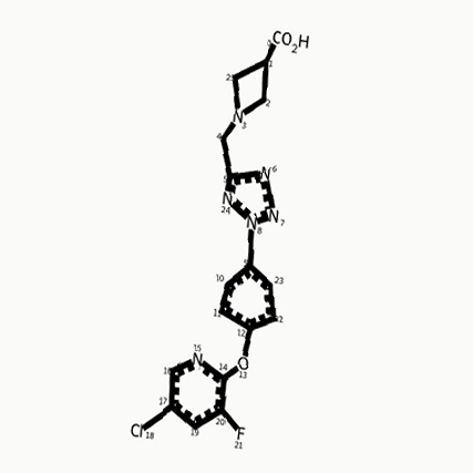 O=C(O)C1CN(Cc2nnn(-c3ccc(Oc4ncc(Cl)cc4F)cc3)n2)C1